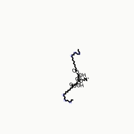 CC/C=C\C/C=C\C/C=C\CCCCCCCC(=O)OC[C@@H](O)COP(=O)(OCC[N+](C)(C)C)OC[C@H](O)COC(=O)CCCCCCC/C=C\C/C=C\C/C=C\CC